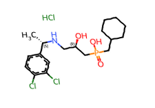 C[C@H](NC[C@@H](O)CP(=O)(O)CC1CCCCC1)c1ccc(Cl)c(Cl)c1.Cl